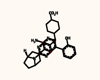 Nc1nnc(-c2ccccc2O)cc1N1CC2CC[C@H](C1)N2c1ncc(CC2CCC(C(=O)O)CC2)cn1